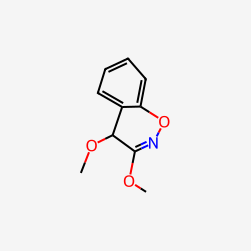 COC1=NOc2ccccc2C1OC